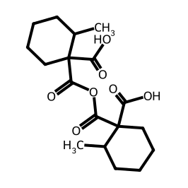 CC1CCCCC1(C(=O)O)C(=O)OC(=O)C1(C(=O)O)CCCCC1C